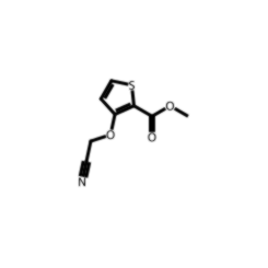 COC(=O)c1sccc1OCC#N